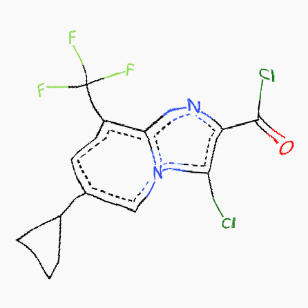 O=C(Cl)c1nc2c(C(F)(F)F)cc(C3CC3)cn2c1Cl